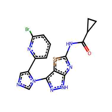 O=C(Nc1nc2[nH]nc(-n3cncc3-c3cccc(Br)n3)c2s1)C1CC1